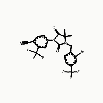 CC1(C)C(=O)N(c2ccc(C#N)c(C(F)(F)F)c2)C(=O)N1Cc1ccc(C(F)(F)F)cc1Br